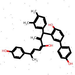 C=C(/C(O)=C\C=C(/C)c1ccc(O)cc1)C(c1ccc(C)c(C)c1)c1cc(-c2ccc(O)cc2)ccc1O